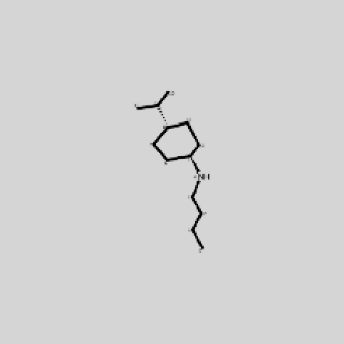 CCCCN[C@H]1CC[C@H](C(C)C)CC1